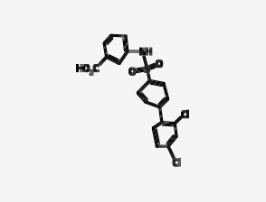 O=C(O)c1cccc(NS(=O)(=O)c2ccc(-c3ccc(Cl)cc3Cl)cc2)c1